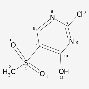 CS(=O)(=O)c1cnc(Cl)nc1O